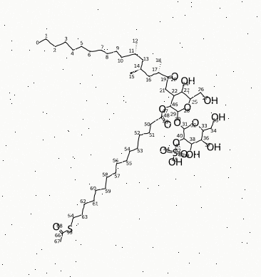 CCCCCCCCCCC[C@H](C)C[C@H](C)C[C@H](C)C(=O)CC1C(O)C(CO)OC(OC2OC(CO)C(O)C(O)C2OS(=O)(=O)O)C1OC(=O)CCCCCCCCCCCCCCCSC(C)=O